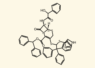 O=C(OC(c1ccccc1)c1ccccc1)C1=C(SC(Sc2c[nH]nn2)C(c2ccccc2)(c2ccccc2)c2ccccc2)CS[C@H]2[C@H](NC(=O)C(O)c3ccccc3)C(=O)N12